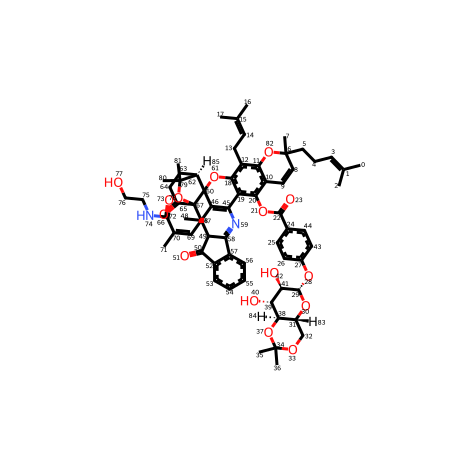 CC(C)=CCCC1(C)C=Cc2c(c(CC=C(C)C)c3c(c2OC(=O)c2ccc(O[C@@H]4O[C@@H]5COC(C)(C)O[C@H]5[C@H](O)[C@H]4O)cc2)C2=C(C(C)C4C(=O)c5ccccc5C4=N2)C2(O3)[C@@H]3CCC(=O)C2(C/C=C(/C)C(=O)NCCO)OC3(C)C)O1